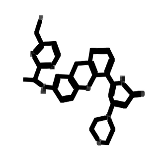 CC(Nc1ccc2c(c1)Cc1cccc(-c3cc(N4CCOCC4)cc(=O)[nH]3)c1O2)c1nccc(CF)n1